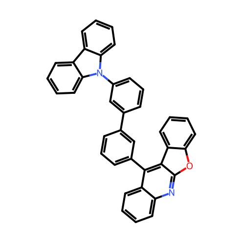 c1cc(-c2cccc(-n3c4ccccc4c4ccccc43)c2)cc(-c2c3ccccc3nc3oc4ccccc4c23)c1